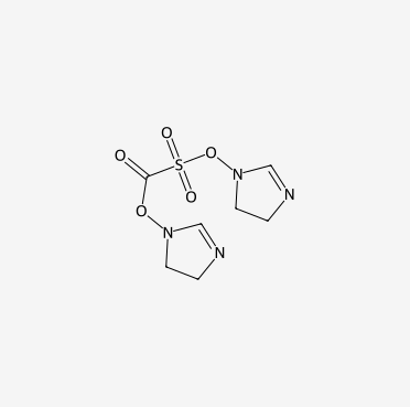 O=C(ON1C=NCC1)S(=O)(=O)ON1C=NCC1